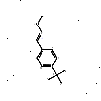 CO/N=C/c1ccc(C(C)(C)C)cc1